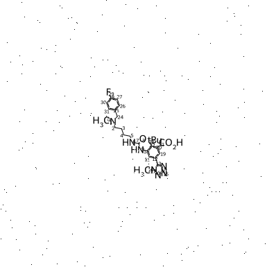 CN(CCCCNC(=O)Nc1cc(-c2nnnn2C)cc(C(=O)O)c1C(C)(C)C)Cc1ccc(F)cc1